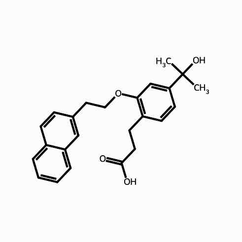 CC(C)(O)c1ccc(CCC(=O)O)c(OCCc2ccc3ccccc3c2)c1